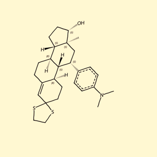 CN(C)c1ccc([C@H]2C[C@]3(C)[C@@H](O)CC[C@H]3[C@@H]3CCC4=CC5(CC[C@@H]4[C@H]32)SCCS5)cc1